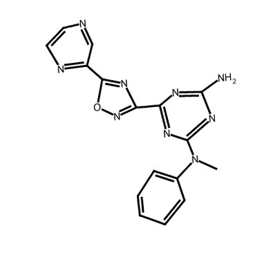 CN(c1ccccc1)c1nc(N)nc(-c2noc(-c3cnccn3)n2)n1